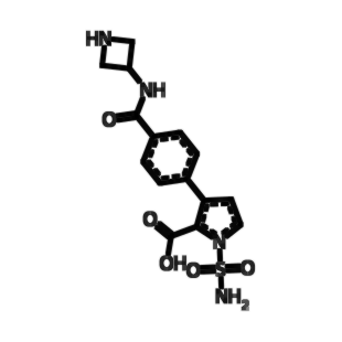 NS(=O)(=O)n1ccc(-c2ccc(C(=O)NC3CNC3)cc2)c1C(=O)O